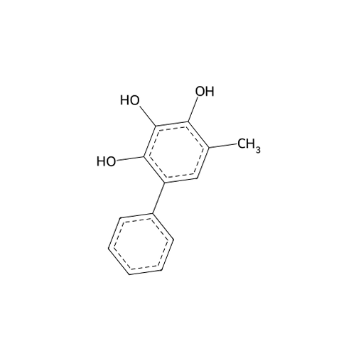 Cc1cc(-c2ccccc2)c(O)c(O)c1O